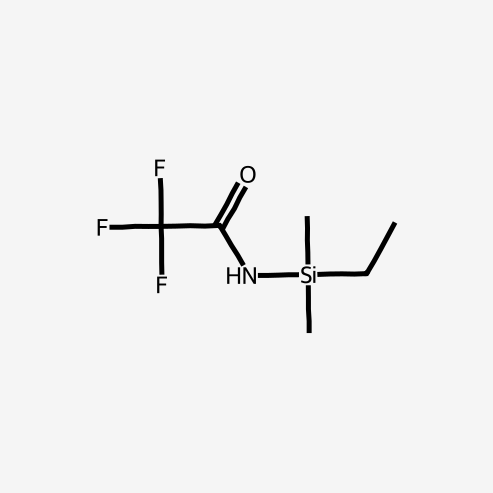 CC[Si](C)(C)NC(=O)C(F)(F)F